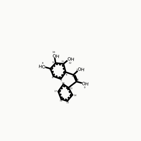 O/C(=C(\O)c1ccc(O)c(O)c1O)c1ccccc1